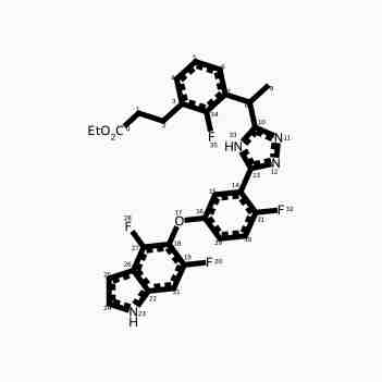 CCOC(=O)CCc1cccc(C(C)c2nnc(-c3cc(Oc4c(F)cc5[nH]ccc5c4F)ccc3F)[nH]2)c1F